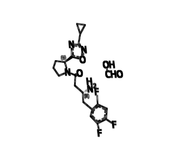 N[C@@H](CC(=O)N1CCC[C@H]1c1nc(C2CC2)no1)Cc1cc(F)c(F)cc1F.O=CO